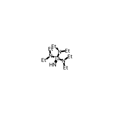 CC[N](CC)[Ta](=[NH])([N](CC)CC)[N](CC)CC